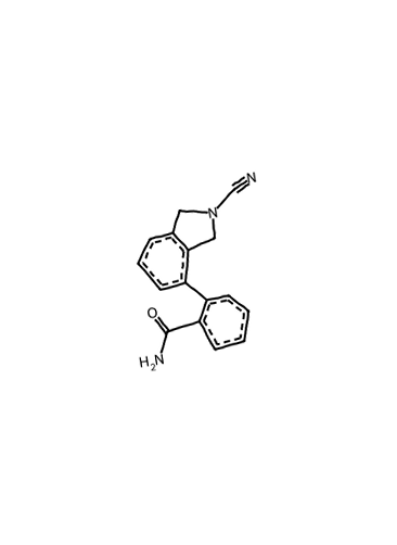 N#CN1Cc2cccc(-c3ccccc3C(N)=O)c2C1